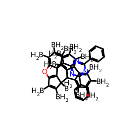 BC1=C(B)C(B)(C2c3c(B)c(B)c(B)c(B)c3-c3c(B)c(B)c(B)c(B)c32)c2c1oc1c(B)c(B)c(B)c(-c3nc(-c4ccccc4)nc(-c4ccccc4)n3)c21